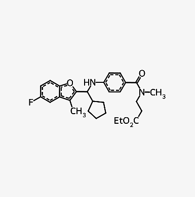 CCOC(=O)CCN(C)C(=O)c1ccc(NC(c2oc3ccc(F)cc3c2C)C2CCCC2)cc1